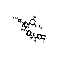 NC1CN(c2nc(Nc3ccc(S(=O)(=O)Nc4ccc5cn[nH]c5c4)cc3)nc(N3C[C@H](N)C[C@H](N)C3)n2)C1